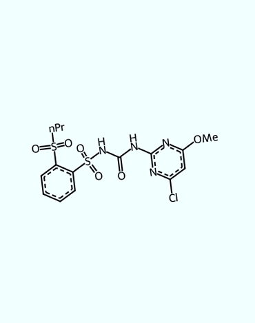 CCCS(=O)(=O)c1ccccc1S(=O)(=O)NC(=O)Nc1nc(Cl)cc(OC)n1